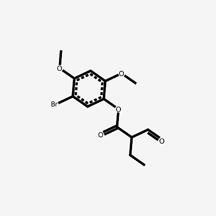 CCC(C=O)C(=O)Oc1cc(Br)c(OC)cc1OC